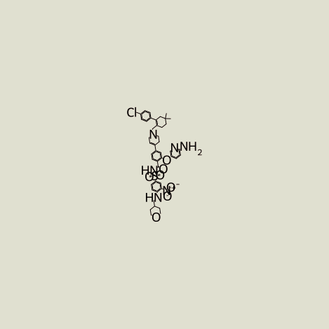 CC1(C)CCC(CN2CC=C(c3ccc(C(=O)NS(=O)(=O)c4ccc(NCC5CCOCC5)c([N+](=O)[O-])c4)c(Oc4ccc(N)nc4)c3)CC2)=C(c2ccc(Cl)cc2)C1